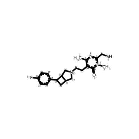 Cc1nc(CS)n(C)c(=O)c1CCN1CC2CC(c3ccc(F)cc3)C2C1